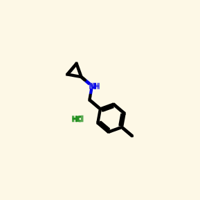 Cc1ccc(CNC2CC2)cc1.Cl